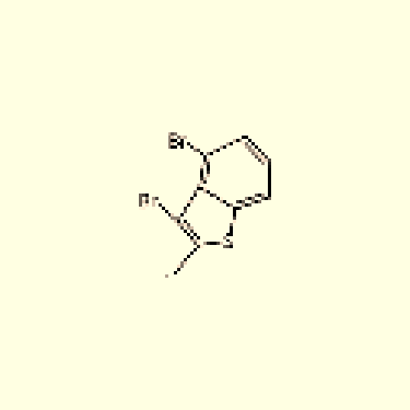 [CH2]c1sc2cccc(Br)c2c1Br